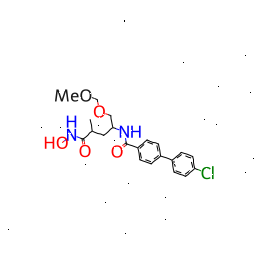 COCOCC(CC(C)C(=O)NO)NC(=O)c1ccc(-c2ccc(Cl)cc2)cc1